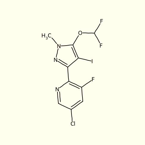 Cn1nc(-c2ncc(Cl)cc2F)c(I)c1OC(F)F